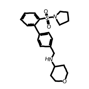 O=S(=O)(c1ccccc1-c1ccc(CNC2CCOCC2)cc1)N1CCCC1